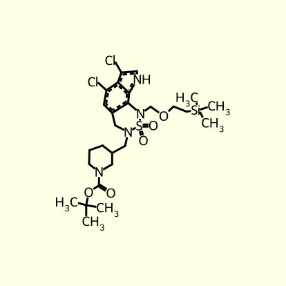 CC(C)(C)OC(=O)N1CCCC(CN2Cc3cc(Cl)c4c(Cl)c[nH]c4c3N(COCC[Si](C)(C)C)S2(=O)=O)C1